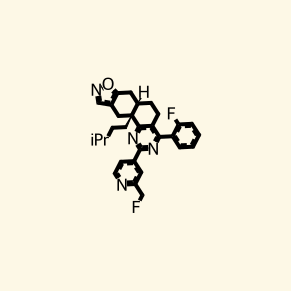 CC(C)CC[C@@]12Cc3cnoc3C[C@H]1CCc1c(-c3ccccc3F)nc(-c3ccnc(CF)c3)nc12